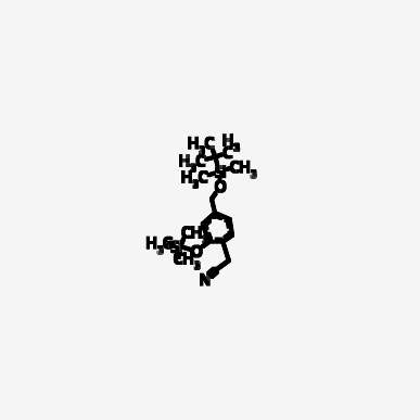 CC(C)(C)[Si](C)(C)OCc1ccc(CC#N)c(O[Si](C)(C)C)c1